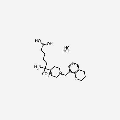 Cl.Cl.NC(CCCCB(O)O)(C(=O)O)C1CCN(Cc2cccc3c2OCCC3)CC1